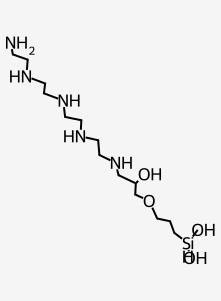 NCCNCCNCCNCCNCC(O)COCCC[SiH](O)O